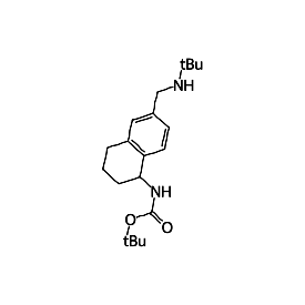 CC(C)(C)NCc1ccc2c(c1)CCCC2NC(=O)OC(C)(C)C